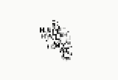 Bc1c(B)c(B)c(-c2nc(Cl)nc(-c3cccc4c3oc3ccccc34)n2)c(B)c1B